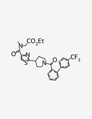 CCOC(=O)CN(C)C(=O)c1csc(C2CCN(C(=O)c3ccccc3-c3ccc(C(F)(F)F)cc3)CC2)n1